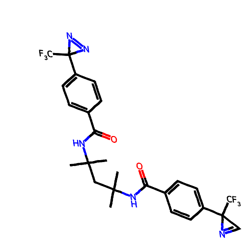 CC(C)(CC(C)(C)NC(=O)c1ccc(C2(C(F)(F)F)N=N2)cc1)NC(=O)c1ccc(C2(C(F)(F)F)C=N2)cc1